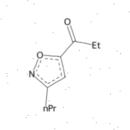 CCCc1cc(C(=O)CC)on1